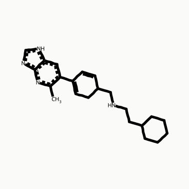 Cc1nc2nc[nH]c2cc1C1=CCC(CNCCC2CCCCC2)C=C1